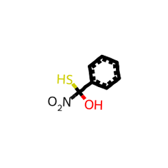 O=[N+]([O-])C(O)(S)c1ccccc1